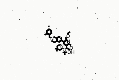 CCOCc1nc(C)c([C@H](OC(C)(C)C)C(=O)O)c(N2CCC(C)(C)CC2)c1-c1ccc2c(c1)CCN(Cc1ccc(F)cc1C)C2